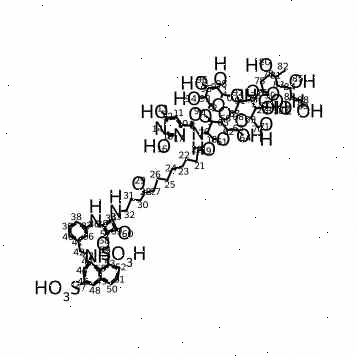 CC1OC(OC2C(NC(=O)c3cc(O)nc(O)n3)C(OCCCCCCCCC(=O)CCCNc3c(Nc4cccc(CNc5cc(S(=O)(=O)O)cc6cccc(S(=O)(=O)O)c56)c4)c(=O)c3=O)OC(CO)C2OC2OC(CO)C(O)C(OC3(C(=O)O)CC(O)C(C)C([C@H](O)[C@H](O)CO)O3)C2O)C(O)C(O)C1O